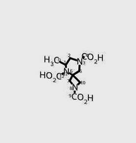 CC1CN(C(=O)O)CC2(CN(C(=O)O)C2)N1C(=O)O